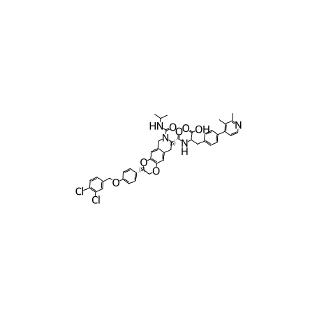 Cc1nccc(-c2ccc(CC(NC(=O)[C@@H]3Cc4cc5c(cc4CN3C(=O)NC(C)C)O[C@@H](c3ccc(OCc4ccc(Cl)c(Cl)c4)cc3)CO5)C(=O)O)cc2)c1C